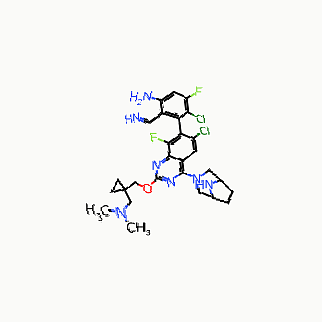 CN(C)CC1(COc2nc(N3CC4CCC(C3)N4)c3cc(Cl)c(-c4c(Cl)c(F)cc(N)c4C=N)c(F)c3n2)CC1